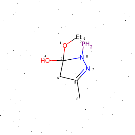 CCOC1(O)CC(C)=NN1P